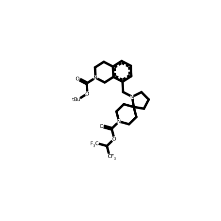 CC(C)(C)OC(=O)N1CCc2cccc(CN3CCCC34CCN(C(=O)OC(C(F)(F)F)C(F)(F)F)CC4)c2C1